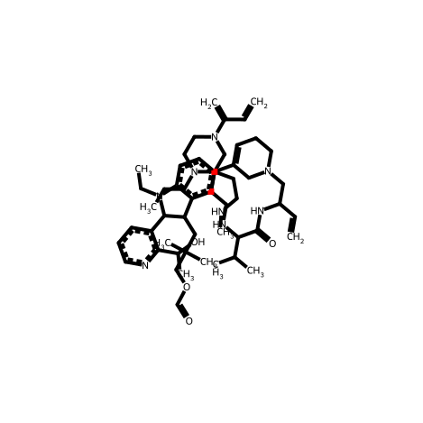 C=CC(=C)N1CCN(CCC)C(CCNC)(CCNC(C(=O)NC(C=C)CN2CCC=C(c3ccc4c(c3)C(CC(C)(C)COC=O)C(c3cccnc3C(C)O)N4CC)C2)C(C)C)C1